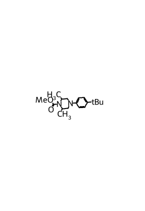 COC(=O)N1C(C)CN(c2ccc(C(C)(C)C)cc2)CC1C